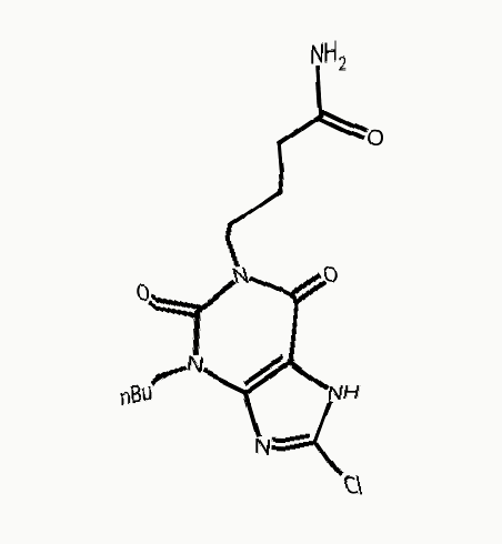 CCCCn1c(=O)n(CCCC(N)=O)c(=O)c2[nH]c(Cl)nc21